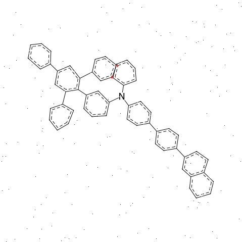 c1ccc(-c2cc(-c3ccccc3)c(-c3cccc(N(c4ccccc4)c4ccc(-c5ccc(-c6ccc7ccccc7c6)cc5)cc4)c3)c(-c3ccccc3)c2)cc1